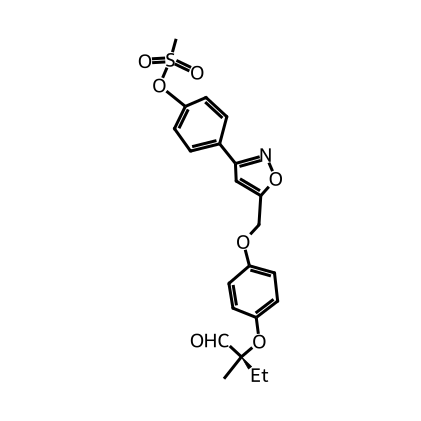 CC[C@@](C)(C=O)Oc1ccc(OCc2cc(-c3ccc(OS(C)(=O)=O)cc3)no2)cc1